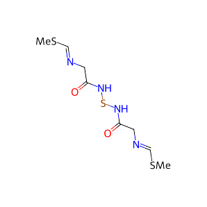 CSC=NCC(=O)NSNC(=O)CN=CSC